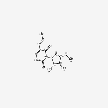 O=c1[nH]cc(/C=C/Br)c(=O)n1[C@@H]1O[C@H](CO)[C@@H](O)[C@@H]1O